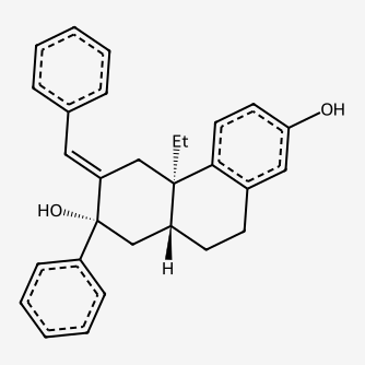 CC[C@@]12CC(=Cc3ccccc3)[C@](O)(c3ccccc3)C[C@H]1CCc1cc(O)ccc12